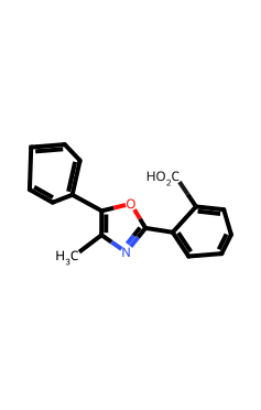 Cc1nc(-c2ccccc2C(=O)O)oc1-c1ccccc1